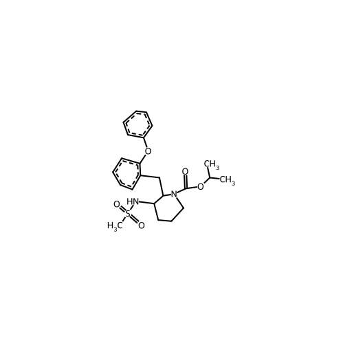 CC(C)OC(=O)N1CCCC(NS(C)(=O)=O)C1Cc1ccccc1Oc1ccccc1